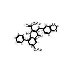 COC(=O)c1[nH]c2c(-c3ccccc3)cc(OC)cc2c(=O)c1Cc1ccc2c(c1)OCO2